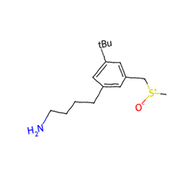 C[S+]([O-])Cc1cc(CCCCN)cc(C(C)(C)C)c1